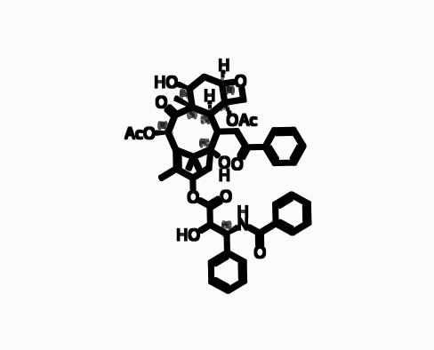 CC(=O)O[C@H]1C(=O)[C@@]2(C)[C@H](C(CC(=O)c3ccccc3)[C@]3(O)CC(OC(=O)C(O)[C@@H](NC(=O)c4ccccc4)c4ccccc4)C(C)=C1C3(C)C)[C@]1(OC(C)=O)CO[C@@H]1C[C@@H]2O